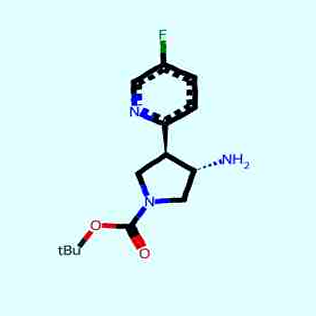 CC(C)(C)OC(=O)N1C[C@@H](N)[C@H](c2ccc(F)cn2)C1